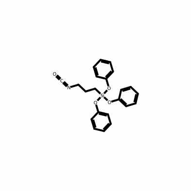 O=C=NCCC[Si](Oc1ccccc1)(Oc1ccccc1)Oc1ccccc1